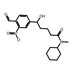 CN(C(=O)CCCC(O)c1ccc(C=O)c([N+](=O)[O-])c1)C1CCCCC1